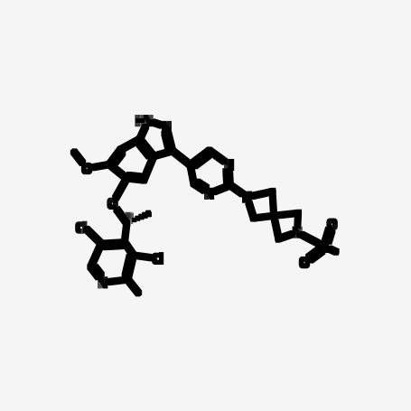 COc1cc2[nH]nc(-c3cnc(N4CC5(C4)CN(S(C)(=O)=O)C5)nc3)c2cc1O[C@H](C)c1c(Cl)cnc(C)c1Cl